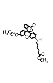 COCOc1ccc2c(c1)Oc1cc(NCCCCCC(=O)OC)ccc1C21OC(=O)c2ccccc21